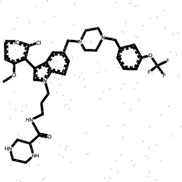 COc1cccc(Cl)c1-c1cn(CCCNC(=O)C2CNCCN2)c2ccc(CN3CCN(Cc4cccc(OC(F)(F)F)c4)CC3)cc12